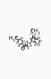 C=CCn1cc(C2CCN(C(=O)c3ccc(C)cc3)C2)c2ccccc21